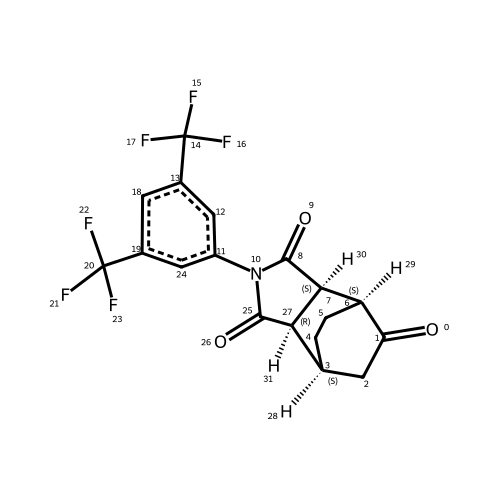 O=C1C[C@@H]2CC[C@H]1[C@@H]1C(=O)N(c3cc(C(F)(F)F)cc(C(F)(F)F)c3)C(=O)[C@H]21